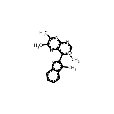 Cc1nc2nc[n+](C)c(-c3sc4ccccc4c3C)c2nc1C